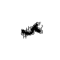 COc1cc(C)ccc1NC(=O)C(=O)NCC(C)(C)CNC(=O)c1ccc(Nc2nc(NC3(c4ccc(Cl)cc4)CC3)nc(OCC(F)(F)F)n2)cc1